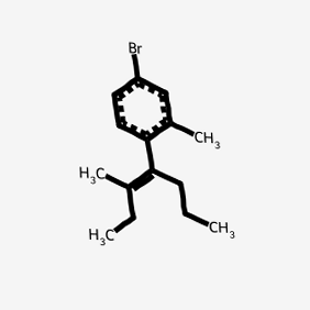 CCC/C(=C(/C)CC)c1ccc(Br)cc1C